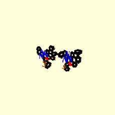 c1ccc2c(c1)ccc1nc(-c3ccc4c(c3)sc3ccccc34)c(-n3c4ccc5ccccc5c4c4c5c(ccc43)c3ccccc3c3cc(-c4ccc6c(ccc7nc(-n8c9ccc%10ccccc%10c9c9c%10c%11ccccc%11c%11ccccc%11c%10ccc98)c(-c8ccc9c(c8)sc8ccccc89)nc76)c4)ccc35)nc12